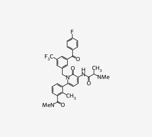 CNC(=O)c1cccc(-c2ccc(NC(=O)C(C)NC)c(=O)n2Cc2cc(C(=O)c3ccc(F)cc3)cc(C(F)(F)F)c2)c1C